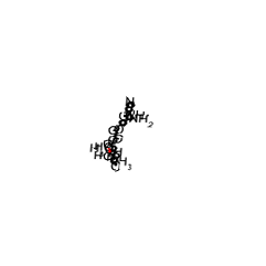 C[C@]12C=CC(=O)C=C1CC[C@@H]1[C@@H]2[C@@H](O)C[C@@]2(C)[C@H]1CC[C@]2(O)C(=O)COC(=O)CCC(=O)OCc1ccc(C(CN)C(=O)Nc2ccc3cnccc3c2)cc1